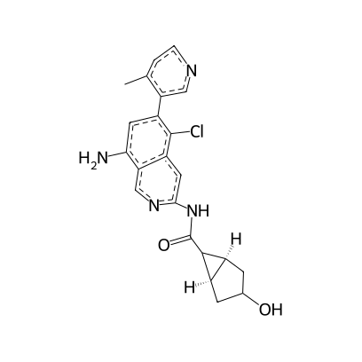 Cc1ccncc1-c1cc(N)c2cnc(NC(=O)C3[C@H]4CC(O)C[C@@H]34)cc2c1Cl